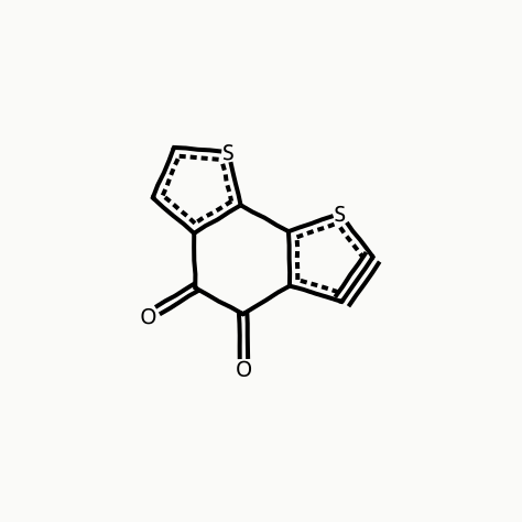 O=C1C(=O)c2ccsc2-c2sc#cc21